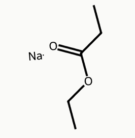 CCOC(=O)CC.[Na]